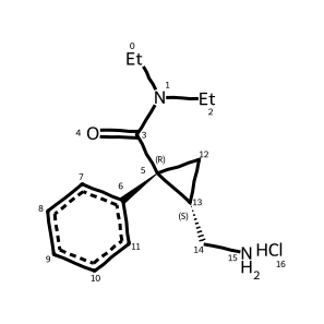 CCN(CC)C(=O)[C@]1(c2ccccc2)C[C@@H]1CN.Cl